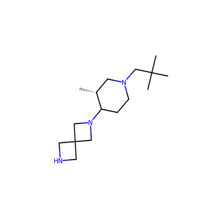 C[C@@H]1CN(CC(C)(C)C)CCC1N1CC2(CNC2)C1